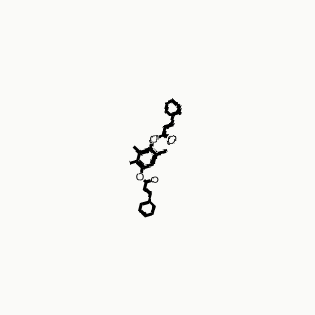 Cc1cc(OC(=O)/C=C/c2ccccc2)c(C)c(C)c1OC(=O)/C=C/c1ccccc1